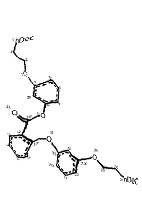 CCCCCCCCCCCCOc1cccc(OC(=O)c2ccccc2Oc2cccc(OCCCCCCCCCCCC)c2)c1